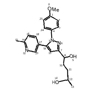 COc1ccc(-n2nc(C(O)CCC(C)O)cc2-c2ccc(C)nc2)cc1